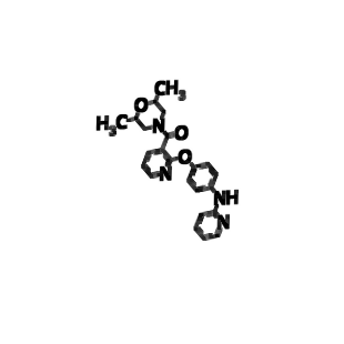 CC1CN(C(=O)c2cccnc2Oc2ccc(Nc3ccccn3)cc2)CC(C)O1